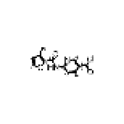 Cc1ccoc1C(=O)Nc1ccc(C(=O)Cl)cn1